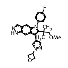 COCC(C)(C)c1c(-c2cnn(C3COC3)c2)c2cc3[nH]ncc3cc2n1-c1ccc(F)cc1